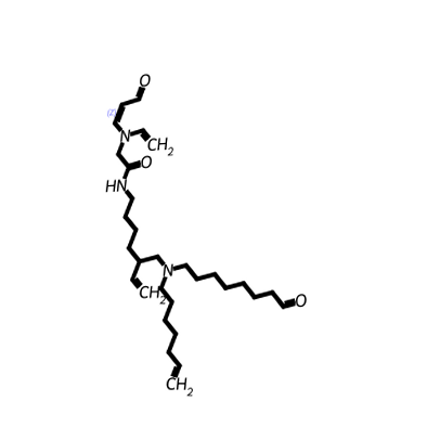 C=CCCCCCN(CCCCCCCC=O)CC(C=C)CCCCNC(=O)CN(C=C)/C=C\C=O